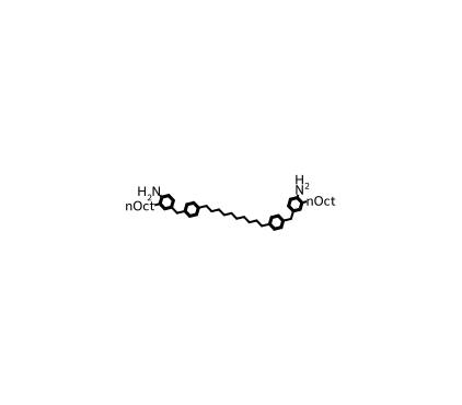 CCCCCCCCc1cc(Cc2ccc(CCCCCCCCCCc3ccc(Cc4ccc(N)c(CCCCCCCC)c4)cc3)cc2)ccc1N